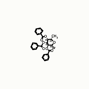 C[C@@H]1O[C@H](Br)[C@@H](OC(=O)c2ccccc2)[C@H](OC(=O)c2ccccc2)[C@@H]1OC(=O)c1ccccc1